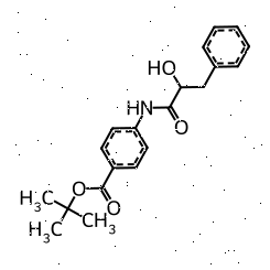 CC(C)(C)OC(=O)c1ccc(NC(=O)C(O)Cc2ccccc2)cc1